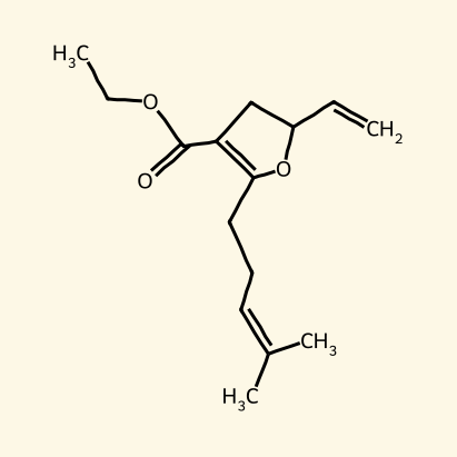 C=CC1CC(C(=O)OCC)=C(CCC=C(C)C)O1